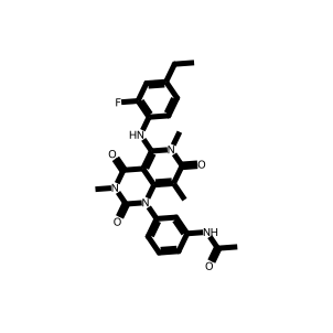 CCc1ccc(Nc2c3c(=O)n(C)c(=O)n(-c4cccc(NC(C)=O)c4)c3c(C)c(=O)n2C)c(F)c1